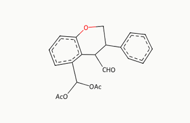 CC(=O)OC(OC(C)=O)c1cccc2c1C(C=O)C(c1ccccc1)CO2